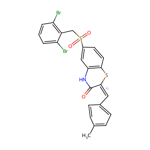 Cc1ccc(/C=C2/Sc3ccc(S(=O)(=O)Cc4c(Br)cccc4Br)cc3NC2=O)cc1